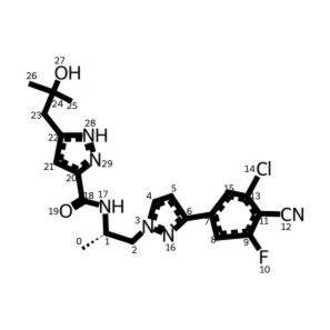 C[C@@H](Cn1ccc(-c2cc(F)c(C#N)c(Cl)c2)n1)NC(=O)c1cc(CC(C)(C)O)[nH]n1